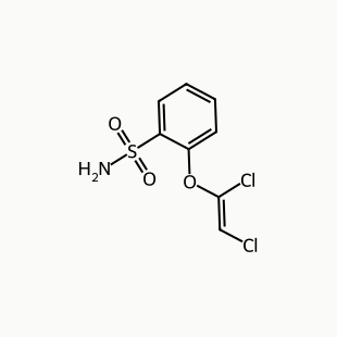 NS(=O)(=O)c1ccccc1O/C(Cl)=C/Cl